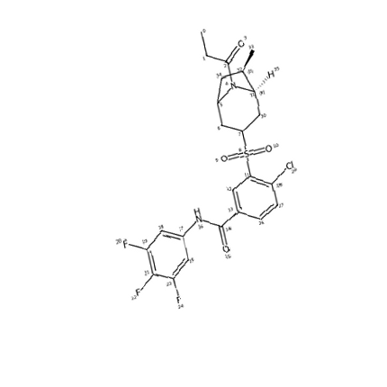 CCC(=O)N1C2CC(S(=O)(=O)c3cc(C(=O)Nc4cc(F)c(F)c(F)c4)ccc3Cl)C[C@@H]1[C@H](C)C2